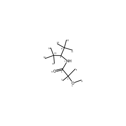 COC(C)(C)C(=O)NC(C(C)(C)C)C(C)(C)C